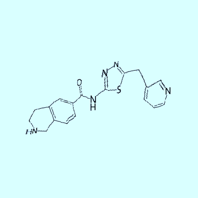 O=C(Nc1nnc(Cc2cccnc2)s1)c1ccc2c(c1)CCNC2